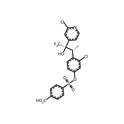 C[C@H](c1ccc(OS(=O)(=O)c2ccc(C(=O)O)cc2)cc1Cl)[C@@](O)(c1ccnc(Cl)c1)C(F)(F)F